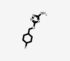 Nc1nnc(OCC2CCC(F)CC2)s1